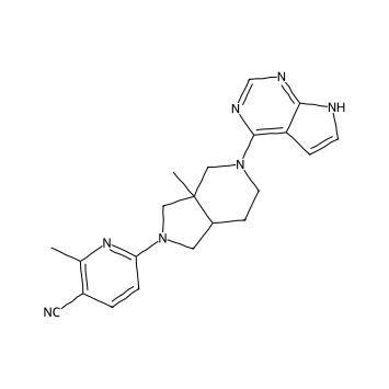 Cc1nc(N2CC3CCN(c4ncnc5[nH]ccc45)CC3(C)C2)ccc1C#N